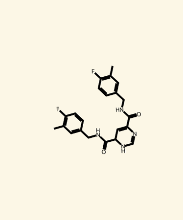 Cc1cc(CNC(=O)C2=CC(C(=O)NCc3ccc(F)c(C)c3)NC=N2)ccc1F